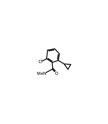 CNC(=O)c1c(Cl)cccc1C1CC1